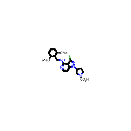 COc1cccc(OC)c1CNc1nccc2c1c(Br)nn2C1CCN(C(=O)O)C1